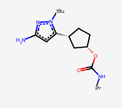 CC(C)NC(=O)O[C@H]1CC[C@@H](c2cc(N)nn2C(C)(C)C)C1